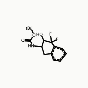 CC(C)(C)OC(=O)NC1Cc2ccccc2C(F)(F)C1O